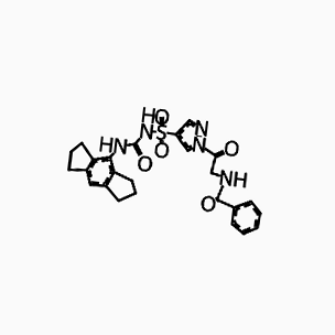 O=C(Nc1c2c(cc3c1CCC3)CCC2)NS(=O)(=O)c1cnn(C(=O)CNC(=O)c2ccccc2)c1